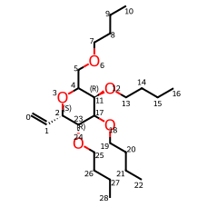 C=C[C@@H]1OC(COCCCC)[C@@H](OCCCC)C(OCCCC)[C@@H]1OCCCC